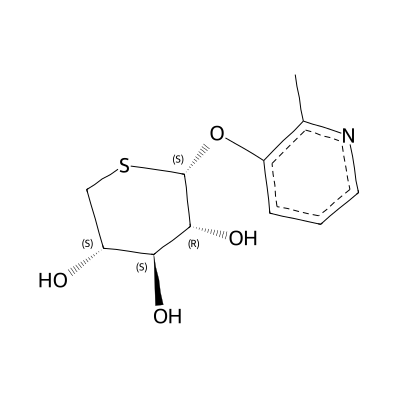 Cc1ncccc1O[C@H]1SC[C@@H](O)[C@H](O)[C@H]1O